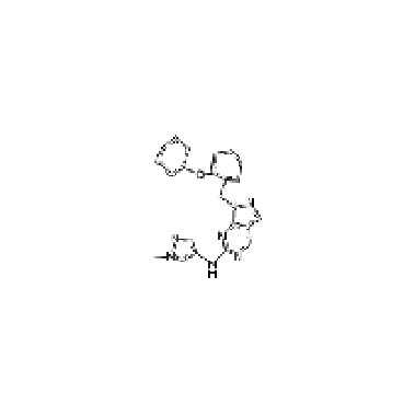 Cn1cc(Nc2ncc3cnn(Cc4ccccc4Oc4ccccc4)c3n2)cn1